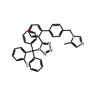 Cc1cncn1Cc1ccc(-c2ccccc2-c2nnnn2C(c2ccccc2)(c2ccccc2)c2ccccc2Cl)cc1